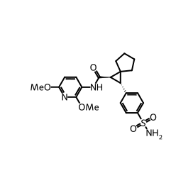 COc1ccc(NC(=O)[C@@H]2[C@@H](c3ccc(S(N)(=O)=O)cc3)C23CCCC3)c(OC)n1